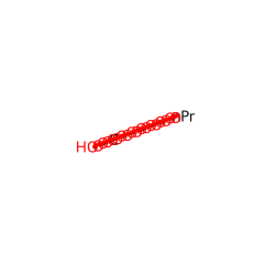 CCCOCCOCCOCCOCCOCCOCCOCCOCCOCCOCCOCCOCCOCCOCCOCCOCCOCCO